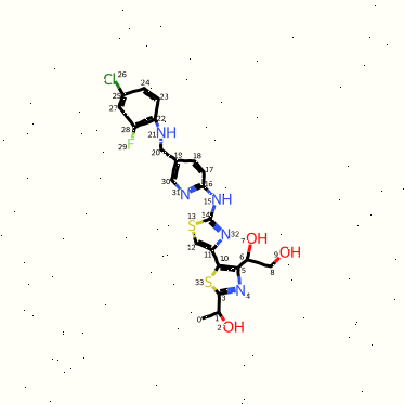 CC(O)c1nc(C(O)CO)c(-c2csc(Nc3ccc(CNc4ccc(Cl)cc4F)cn3)n2)s1